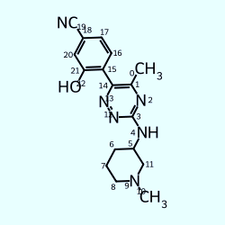 Cc1nc(NC2CCCN(C)C2)nnc1-c1ccc(C#N)cc1O